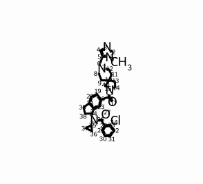 Cn1cncc1CN1CCC2(CC1)CCN(C(=O)c1ccc3c(c1)C(N(C(=O)c1ccccc1Cl)C1CC1)CC3)C2